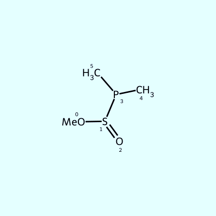 COS(=O)P(C)C